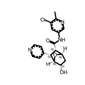 Cc1ncc(NC(=O)[C@H]2[C@@H](c3ccncc3)[C@H]3O[C@@H]2C[C@@H]3O)cc1Cl